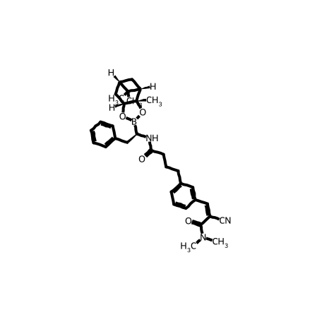 CN(C)C(=O)C(C#N)=Cc1cccc(CCCC(=O)N[C@@H](Cc2ccccc2)B2O[C@@H]3C[C@@H]4C[C@@H](C4(C)C)[C@]3(C)O2)c1